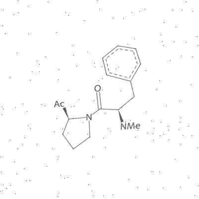 CN[C@H](Cc1ccccc1)C(=O)N1CCC[C@H]1C(C)=O